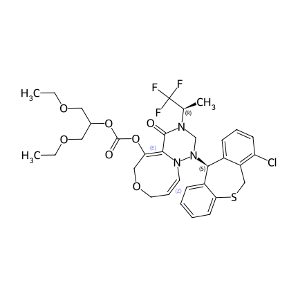 CCOCC(COCC)OC(=O)O/C1=C2\C(=O)N([C@H](C)C(F)(F)F)CN([C@@H]3c4ccccc4SCc4c(Cl)cccc43)N2/C=C\COC1